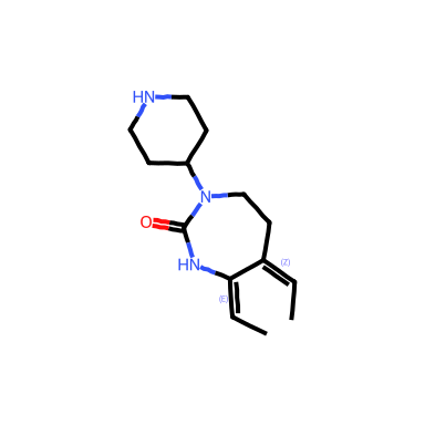 C/C=C1/CCN(C2CCNCC2)C(=O)N/C1=C/C